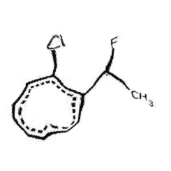 C[C](F)c1ccccc1Cl